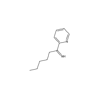 CCCCCC(=N)c1ccccn1